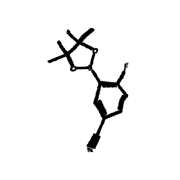 CC1(C)OB(c2cc(C#N)ccc2F)OC1(C)C